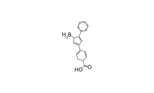 BC1C=C(C2=CCC(C(=O)O)C=C2)C=C1c1ccccc1